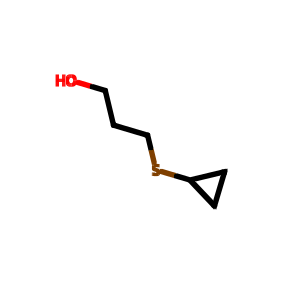 OCCCSC1CC1